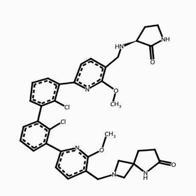 COc1nc(-c2cccc(-c3cccc(-c4ccc(CN5CC6(CCC(=O)N6)C5)c(OC)n4)c3Cl)c2Cl)ccc1CN[C@H]1CCNC1=O